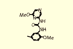 COc1cncc(NC(=O)Nc2cc(C)ccc2OC)n1